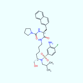 CC(C)CN([C@H](CO)CCCCNC(=O)[C@H](Cc1ccc2ccccc2c1)NC(=O)N1CCCC1)S(=O)(=O)c1ccc(F)c(N)c1